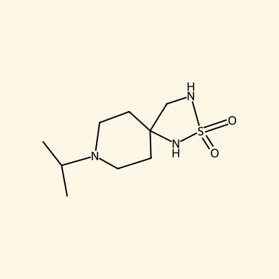 CC(C)N1CCC2(CC1)CNS(=O)(=O)N2